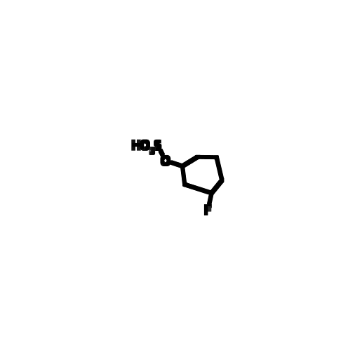 O=S(=O)(O)OC1CCCC(F)C1